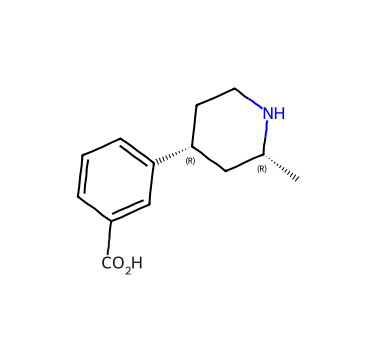 C[C@@H]1C[C@H](c2cccc(C(=O)O)c2)CCN1